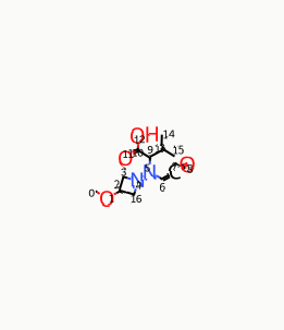 COC1CN(N(C=C=O)C(C(=O)O)C(C)C)C1